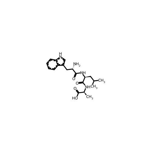 CC(C)C[C@H](NC(=O)[C@@H](N)Cc1c[nH]c2ccccc12)C(=O)N[C@@H](C)C(=O)O